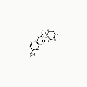 CS(C=O)(Cc1ccc(O)cc1)c1ccccc1